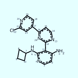 Nc1ccnc(NC2CCC2)c1-c1nccc(-c2ccnc(Cl)c2)n1